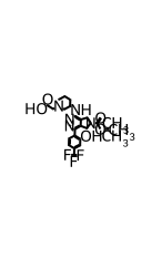 CC(C)(C)OC(=O)N1Cc2c(N[C@@H]3CCCN(CC(=O)O)C3)nnc(-c3ccc(C(F)(F)F)cc3O)c2C1